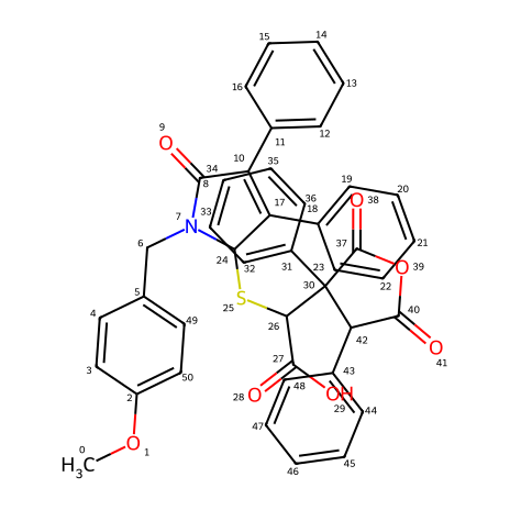 COc1ccc(CN2C(=O)C(c3ccccc3)=C(c3ccccc3)C2SC(C(=O)O)C2(c3ccccc3)C(=O)OC(=O)C2c2ccccc2)cc1